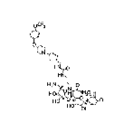 NC[C@H]1O[C@@H](O[C@@H](C(NCCCNC(=O)NCc2ccc(N3CCC(Oc4ccc(OC(F)(F)F)cc4)CC3)cc2)C(N)=O)[C@H]2O[C@@H](n3ccc(=O)[nH]c3=O)C(O)C2O)[C@H](O)[C@@H]1O